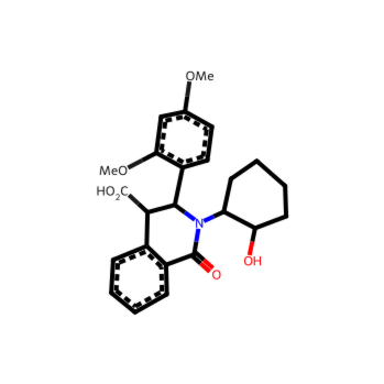 COc1ccc(C2C(C(=O)O)c3ccccc3C(=O)N2C2CCCCC2O)c(OC)c1